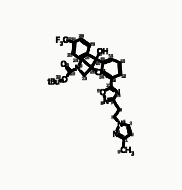 Cc1ccn(CCc2noc(-c3cccc([C@@](O)(c4ccc(C(F)(F)F)cc4)C4(C)CN(C(=O)OC(C)(C)C)C4)c3)n2)n1